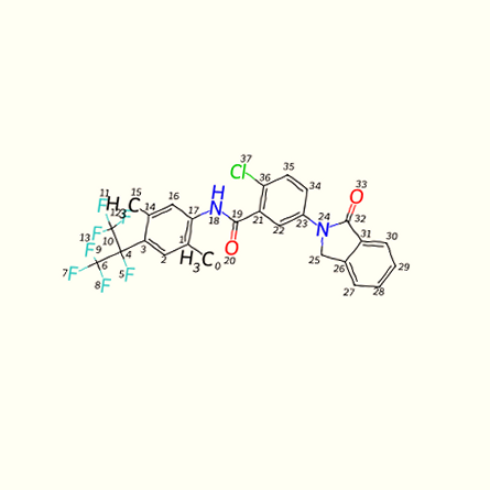 Cc1cc(C(F)(C(F)(F)F)C(F)(F)F)c(C)cc1NC(=O)c1cc(N2Cc3ccccc3C2=O)ccc1Cl